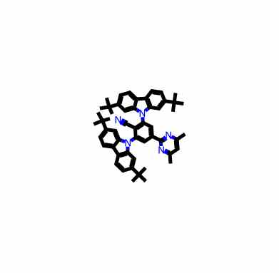 Cc1cc(C)nc(-c2cc(-n3c4cc(C(C)(C)C)ccc4c4ccc(C(C)(C)C)cc43)c(C#N)c(-n3c4cc(C(C)(C)C)ccc4c4ccc(C(C)(C)C)cc43)c2)n1